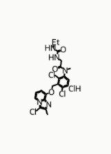 CCNC(=O)NCC(=O)N(C)c1ccc(Cl)c(COc2cccn3c(Cl)c(C)nc23)c1Cl.Cl